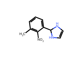 Cc1cccc(C2NC=CN2)c1[N+](=O)[O-]